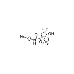 N#CC12CC(NC(=O)C(=O)N3CC(F)(F)[C@H](O)[C@]34CCC(F)(F)C4)(C1)C2